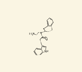 NCCN(C(=O)Cc1c[nH]c2ccccc12)C1CCc2ccccc2C1